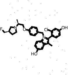 Cc1c(-c2ccc(O)cc2Cl)n(Cc2ccc(OC[C@H](C)N3CC[C@@H](CF)C3)cc2)c2ccc(O)cc12